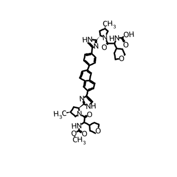 COC(=O)NC(C(=O)N1C[C@@H](C)C[C@H]1c1nc(-c2ccc3cc(-c4ccc(-c5c[nH]c([C@@H]6C[C@H](C)CN6C(=O)C(NC(=O)O)C6CCOCC6)n5)cc4)ccc3c2)c[nH]1)C1CCOCC1